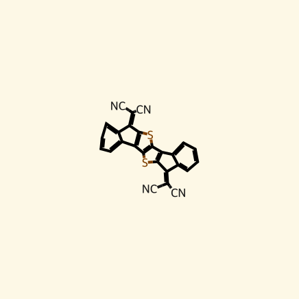 N#CC(C#N)=C1c2ccccc2-c2c1sc1c3c(sc21)C(=C(C#N)C#N)c1ccccc1-3